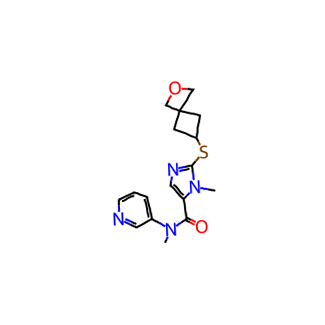 CN(C(=O)c1cnc(SC2CC3(COC3)C2)n1C)c1cccnc1